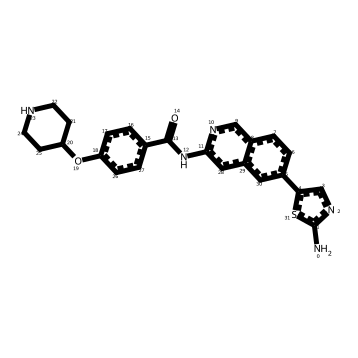 Nc1ncc(-c2ccc3cnc(NC(=O)c4ccc(OC5CCNCC5)cc4)cc3c2)s1